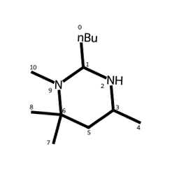 CCCCC1NC(C)CC(C)(C)N1C